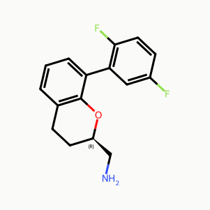 NC[C@H]1CCc2cccc(-c3cc(F)ccc3F)c2O1